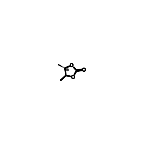 CC1OC(=O)O[C@H]1C